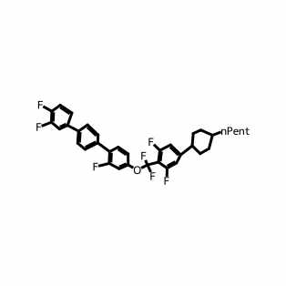 CCCCCC1CCC(c2cc(F)c(C(F)(F)Oc3ccc(-c4ccc(-c5ccc(F)c(F)c5)cc4)c(F)c3)c(F)c2)CC1